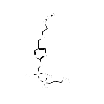 C[Si](C)(CCCN)O[Si](C)(C)CSc1ncc(COCCN=[N+]=[N-])cn1